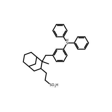 CC1(Cc2cccc([SH](c3ccccc3)c3ccccc3)c2)C2CCCC(C2)CC1CCS(=O)(=O)O